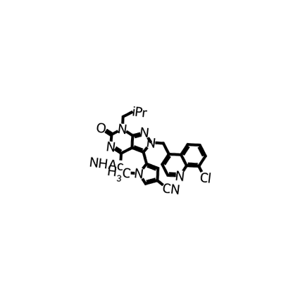 CC(=O)Nc1nc(=O)n(CC(C)C)c2nn(Cc3ccnc4c(Cl)cccc34)c(-c3cc(C#N)cn3C)c12